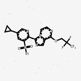 CCS(=O)(=O)c1cc(C2CC2)cnc1-c1ncc2c(OCC(F)(F)C(F)(F)F)nccn12